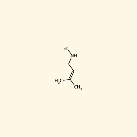 [CH2]CNCC=C(C)C